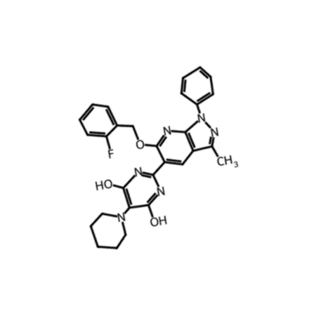 Cc1nn(-c2ccccc2)c2nc(OCc3ccccc3F)c(-c3nc(O)c(N4CCCCC4)c(O)n3)cc12